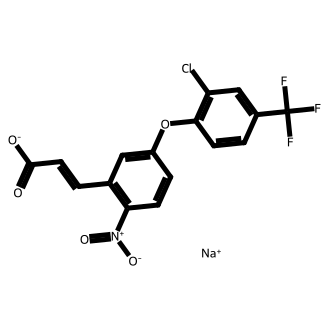 O=C([O-])/C=C/c1cc(Oc2ccc(C(F)(F)F)cc2Cl)ccc1[N+](=O)[O-].[Na+]